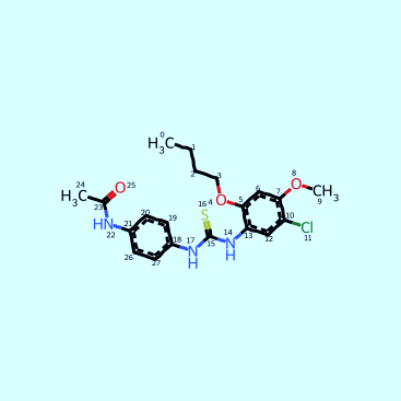 CCCCOc1cc(OC)c(Cl)cc1NC(=S)Nc1ccc(NC(C)=O)cc1